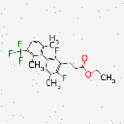 CCOC(=O)CCc1c(F)c(C)cc(-c2c(C)ccc(C(F)(F)F)c2C)c1F